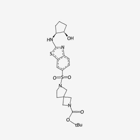 CC(C)(C)OC(=O)N1CC2(CCN(S(=O)(=O)c3ccc4nc(N[C@H]5CCC[C@H]5O)sc4c3)C2)C1